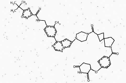 Cc1cc(-c2ncnn3cc(N4CCN(C(=O)C5CC6(CCN(C(=O)c7ccc(OC8CCC(=O)NC8=O)cc7)C6)C5)CC4)cc23)ccc1CNC(=O)c1noc(C(C)(C)C)n1